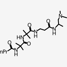 CCCC(=O)NC(C)(C)C(=O)NC(C)(C)C(=O)NCCC(=O)NC(C)CN(C)C